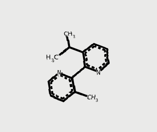 Cc1cccnc1-c1ncccc1C(C)C